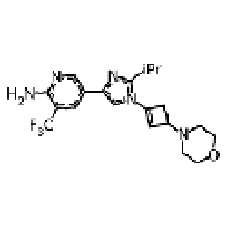 CC(C)c1nc(-c2cnc(N)c(C(F)(F)F)c2)cn1C1=CC(N2CCOCC2)C1